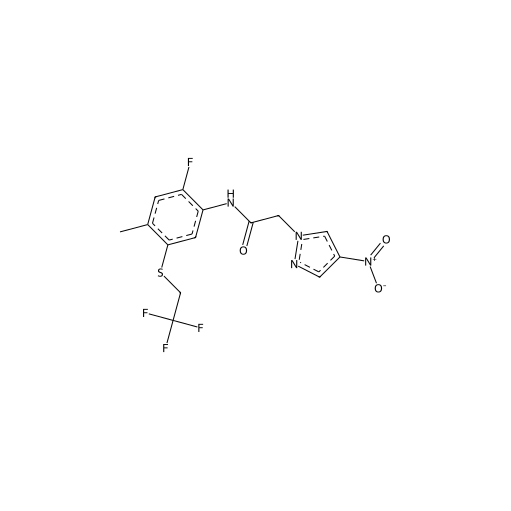 Cc1cc(F)c(NC(=O)Cn2cc([N+](=O)[O-])cn2)cc1SCC(F)(F)F